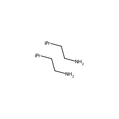 CC(C)CCN.CC(C)CCN